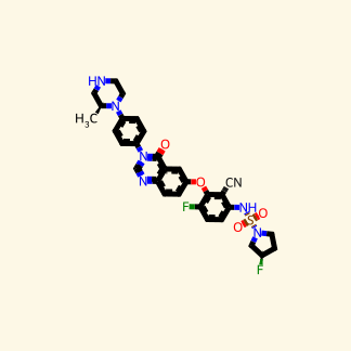 C[C@H]1CNCCN1c1ccc(-n2cnc3ccc(Oc4c(F)ccc(NS(=O)(=O)N5CC[C@@H](F)C5)c4C#N)cc3c2=O)cc1